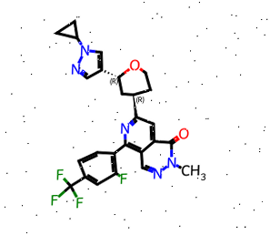 Cn1ncc2c(-c3ccc(C(F)(F)F)cc3F)nc([C@@H]3CCO[C@@H](c4cnn(C5CC5)c4)C3)cc2c1=O